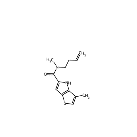 C=CCCN(C)C(=O)c1cc2scc(C)c2[nH]1